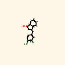 OC1CC(Cc2ccc(Cl)c(Cl)c2)c2ccccc21